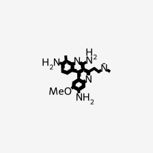 COc1cc2c(cc1N)nc(CCN(C)C)c1c(N)nc3c(C)c(N)ccc3c12